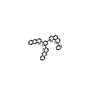 c1ccc(-c2ccc3ccc4ccc(-c5cc(-c6ccc7cc8ccccc8cc7n6)nc(-c6ccc7cc8ccccc8cc7n6)c5)nc4c3n2)nc1